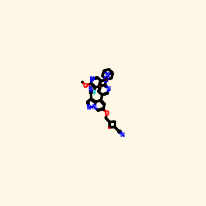 COc1ncc(CN2C3CC2CN(c2ccc(-c4cc(OCC56CC(C#N)(C5)C6)cn5ncc(C#N)c45)cn2)C3)cc1F